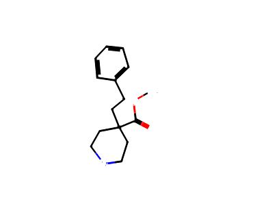 CC(C)(C)OC(=O)C1(CCc2ccccc2)CCNCC1